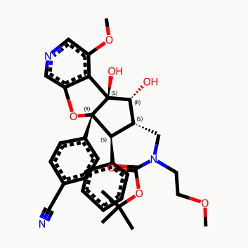 COCCN(C[C@H]1[C@@H](O)[C@@]2(O)c3c(OC)cncc3O[C@@]2(c2ccc(C#N)cc2)[C@@H]1c1ccccc1)C(=O)OC(C)(C)C